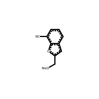 CO[CH]c1cc2cccc(C#N)c2o1